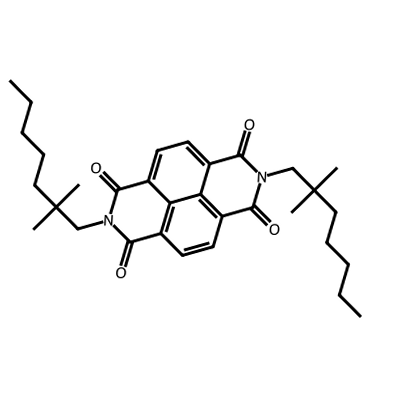 CCCCCC(C)(C)CN1C(=O)c2ccc3c4c(ccc(c24)C1=O)C(=O)N(CC(C)(C)CCCCC)C3=O